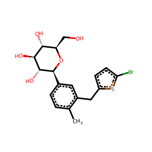 Cc1ccc([C@@H]2O[C@H](CO)[C@@H](O)[C@H](O)[C@H]2O)cc1Cc1ccc(Br)s1